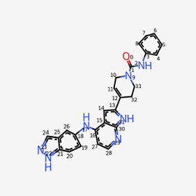 O=C(Nc1ccccc1)N1CC=C(c2cc3c(Nc4ccc5[nH]ncc5c4)ccnc3[nH]2)CC1